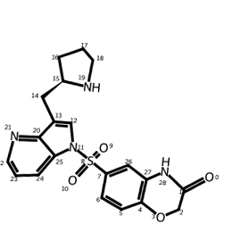 O=C1COc2ccc(S(=O)(=O)n3cc(C[C@H]4CCCN4)c4ncccc43)cc2N1